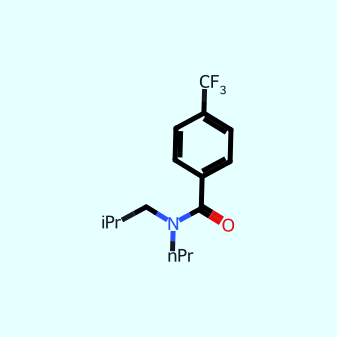 CCCN(CC(C)C)C(=O)c1ccc(C(F)(F)F)cc1